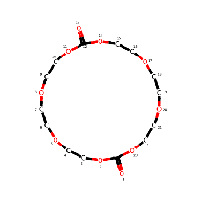 O=C1OCCOCCOCCOC(=O)OCCOCCOCCO1